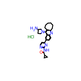 Cl.N[C@H]1CCN(c2c3c(nc4ccc(-c5ccnc(NC(=O)C6CC6)n5)cc24)CCCCCC3)C1